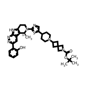 C[C@H]1c2c([nH]c3nnc(-c4ccccc4O)cc23)CCN1c1ncc(C2CCN(C3CC4(C3)CN(C(=O)OC(C)(C)C)C4)CC2)s1